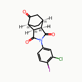 O=C1C[C@@H]2CC[C@H]1[C@@H]1C(=O)N(c3ccc(I)c(Cl)c3)C(=O)[C@H]21